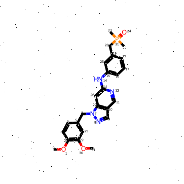 COc1ccc(Cn2ncc3cnc(Nc4cccc(CP(C)(C)=O)c4)cc32)cc1OC